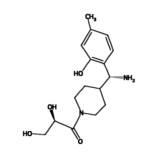 Cc1ccc([C@H](N)C2CCN(C(=O)[C@H](O)CO)CC2)c(O)c1